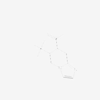 C=C(C)C1Cc2nccn2CC1C(C)(C)O